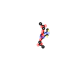 O=C(/C=C\C(=O)OC(CNCCc1cccs1)COc1ccc2c(=O)cc(-c3ccccc3)oc2c1)OC(CNCCc1cccs1)COc1ccc2c(=O)cc(-c3ccccc3)oc2c1